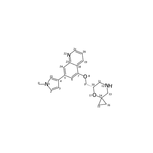 Cn1ccc(-c2cc(OC[C@@H]3CNCC4(CC4)O3)c3cccnc3c2)c1